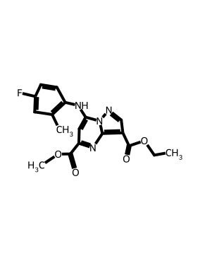 CCOC(=O)c1cnn2c(Nc3ccc(F)cc3C)cc(C(=O)OC)nc12